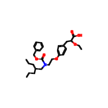 CCCC(CCC)CN(CCOc1ccc(CC(OCC)C(=O)O)cc1)C(=O)OCc1ccccc1